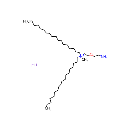 CCCCCCCCCCCCCCCCCC[N+](C)(CCCCCCCCCCCCCCCCCC)CCOCCN.I.[I-]